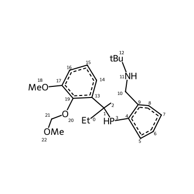 CCC(C)(Pc1ccccc1CNC(C)(C)C)c1cccc(OC)c1OCOC